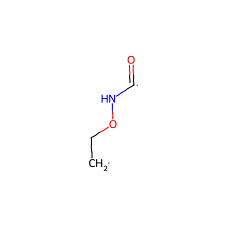 [CH2]CON[C]=O